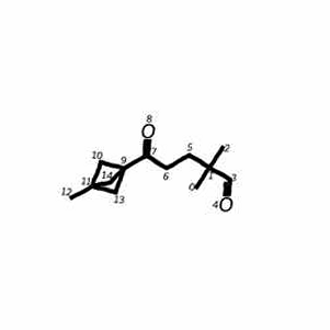 CC(C)(C=O)CCC(=O)C12CC(C)(C1)C2